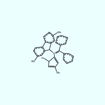 CCC1C=C(C(C)(C)C)C=[C]1[Zr](=[C](c1ccccc1)c1ccccc1)[CH]1c2cc(C(C)(C)C)ccc2-c2ccc(C(C)(C)C)cc21